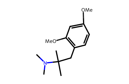 COc1ccc(CC(C)(C)N(C)C)c(OC)c1